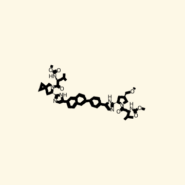 COC[C@@H]1C[C@@H](c2ncc(-c3ccc(-c4ccc5cc(-c6cnc([C@@H]7CC8(CC8)CN7C(=O)[C@@H](NC(=O)OC)C(C)C)[nH]6)ccc5c4)cc3)[nH]2)N(C(=O)C(NC(=O)OC)C(C)C)C1